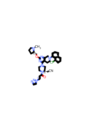 CN1CCC[C@H]1COc1nc2c(c(N3CCN(C(=O)/C=C/n4ccnn4)[C@@H](CC#N)C3)n1)CCN(c1cccc3cccc(Cl)c13)C2